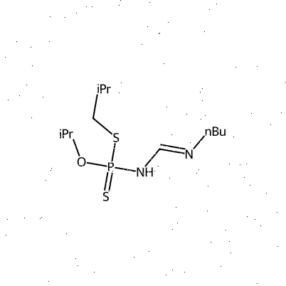 CCCCN=CNP(=S)(OC(C)C)SCC(C)C